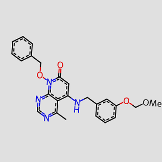 COCOc1cccc(CNc2cc(=O)n(OCc3ccccc3)c3ncnc(C)c23)c1